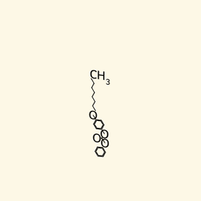 CCCCCCCCCOc1ccc(OC(=O)Oc2ccccc2)cc1